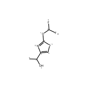 CC(O)c1csc(OC(F)F)n1